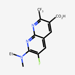 CCN(C)c1nc2nc(C(F)(F)F)c(C(=O)O)cc2cc1F